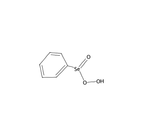 O=[Se](OO)c1ccccc1